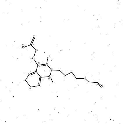 C=CCCCCCCC1C(C)=C(OCC(=C)S)C2=CCCC=C2N1C